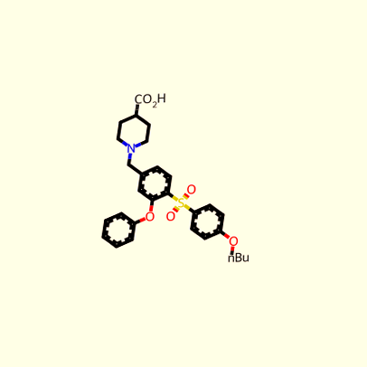 CCCCOc1ccc(S(=O)(=O)c2ccc(CN3CCC(C(=O)O)CC3)cc2Oc2ccccc2)cc1